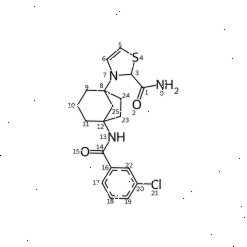 NC(=O)C1SC=CN1C12CCCC(NC(=O)c3cccc(Cl)c3)(CC1)C2